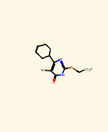 N#Cc1c(C2CCCCC2)nc(SCC(=O)O)[nH]c1=O